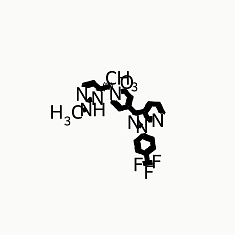 CNc1nccc([C@@H](C)n2ccc(-c3nn(-c4ccc(C(F)(F)F)cc4)c4ncccc34)cc2=O)n1